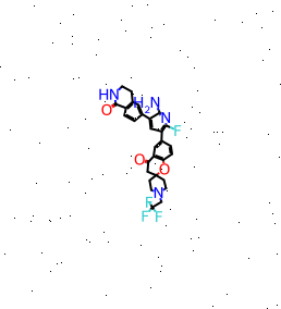 Nc1nc(F)c(-c2ccc3c(c2)C(=O)CC2(CCN(CC(F)(F)F)CC2)O3)cc1-c1ccc2c(c1)CCNC2=O